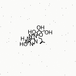 C=C(C)CC[C@@]1(N2C=NC3(N)C(=NO)N=CN=C23)O[C@H](CO)[C@@H](O)[C@H]1O